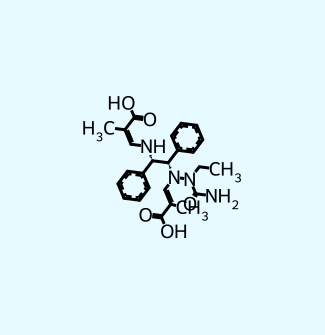 CCN(C(N)=O)N(C=C(C)C(=O)O)[C@@H](c1ccccc1)[C@@H](NC=C(C)C(=O)O)c1ccccc1